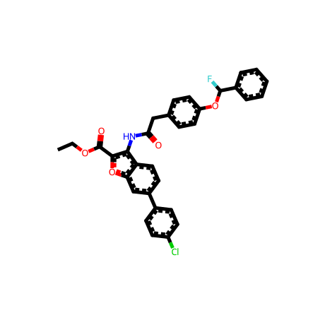 CCOC(=O)c1oc2cc(-c3ccc(Cl)cc3)ccc2c1NC(=O)Cc1ccc(OC(F)c2ccccc2)cc1